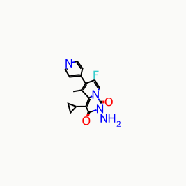 Cc1c(-c2ccncc2)c(F)cn2c(=O)n(N)c(=O)c(C3CC3)c12